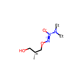 CCN(CC)/[N+]([O-])=N/OC[C@H](C)CO